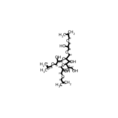 C=C(C)COCC(O)COCC(OCC(O)COCC(=C)C)C(O)C(OCC(O)COCC(=C)C)C(O)CO